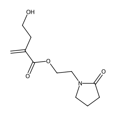 C=C(CCO)C(=O)OCCN1CCCC1=O